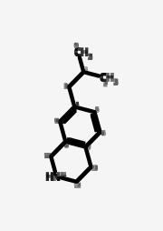 CC(C)Cc1ccc2c(c1)CNCC2